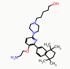 CC1(C)CCC(C)(C)c2cc(-c3nc(N4CCN(CCCCCO)CC4)ccc3OCCN)ccc21